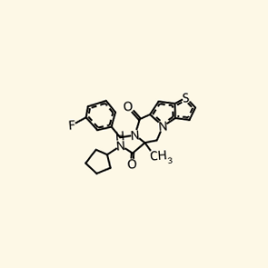 CC1(C(=O)NC2CCCC2)Cn2c(cc3sccc32)C(=O)N1Cc1cccc(F)c1